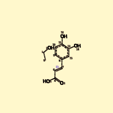 CCO.O=C(O)/C=C/c1ccc(O)c(O)c1